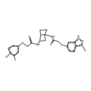 Cc1n[nH]c2cc(OCC(=O)NC34CCC3C(NC(=O)COc3ccc(Cl)c(F)c3)C4)ccc12